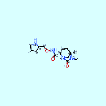 CN1C(=O)N2C[C@H]1CC[C@H]2C(=O)NOC[C@H]1CCCN1